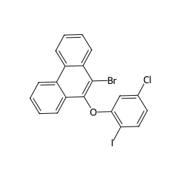 Clc1ccc(I)c(Oc2c(Br)c3ccccc3c3ccccc23)c1